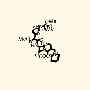 CON=C(C(=O)NC1C(=O)N2C(C(=O)[O-])=C(C[n+]3ccccc3)CS[C@@H]12)c1csc(NP(=O)(OC)OC)n1